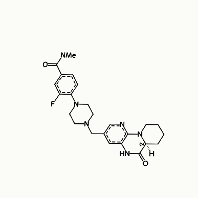 CNC(=O)c1ccc(N2CCN(Cc3cnc4c(c3)NC(=O)[C@@H]3CCCCN43)CC2)c(F)c1